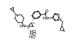 Cl.Cl.Cl.O=C(Nc1cnn(CC2CC2)c1)c1cccc([C@@H]2C[C@H]2NC2CCN(C3CC3)CC2)c1